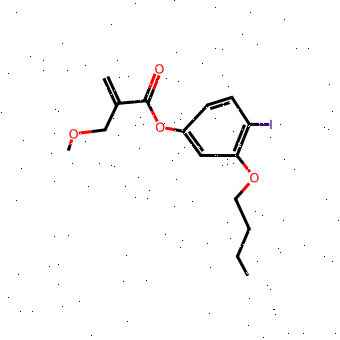 C=C(COC)C(=O)Oc1ccc(I)c(OCCCC)c1